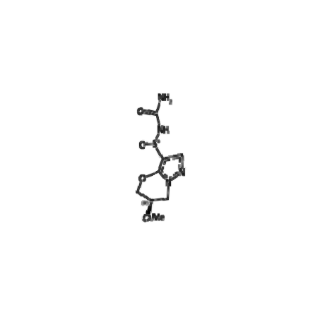 CO[C@H]1COc2c([S+]([O-])NC(N)=O)cnn2C1